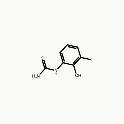 NC(=S)Nc1cccc(I)c1O